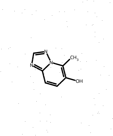 Cc1c(O)ccc2ncnn12